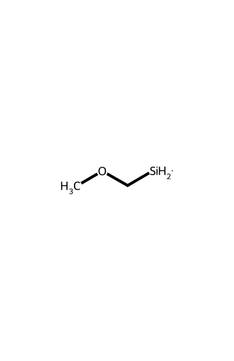 COC[SiH2]